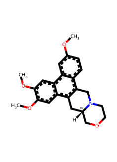 COc1ccc2c3c(c4cc(OC)c(OC)cc4c2c1)C[C@H]1COCCN1C3